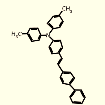 Cc1ccc(N(c2ccc(C)cc2)c2ccc(C=Cc3ccc(-c4ccccc4)cc3)cc2)cc1